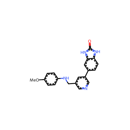 COc1ccc(NCc2cncc(-c3ccc4[nH]c(=O)[nH]c4c3)c2)cc1